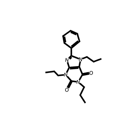 CCCn1c(=O)c2c(nc(-c3ccccc3)n2CCC)n(CCC)c1=O